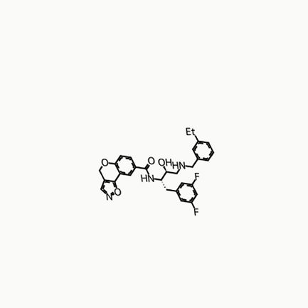 CCc1cccc(CNC[C@H](O)[C@H](Cc2cc(F)cc(F)c2)NC(=O)c2ccc3c(c2)-c2oncc2CO3)c1